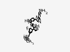 CS(=O)(=O)NCc1cc(F)cc(-c2ccnc3[nH]c(-c4n[nH]c5ccc(-c6cncc(N7CC(N)C7)n6)cc45)nc23)c1